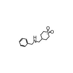 O=S1(=O)CCC(CNCc2ccccc2)CC1